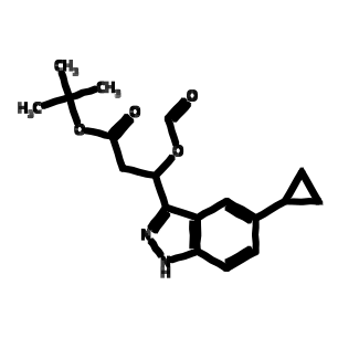 CC(C)(C)OC(=O)CC(OC=O)c1n[nH]c2ccc(C3CC3)cc12